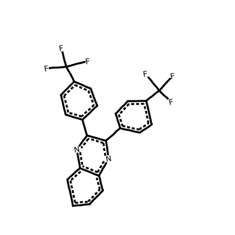 FC(F)(F)c1ccc(-c2nc3ccccc3nc2-c2ccc(C(F)(F)F)cc2)cc1